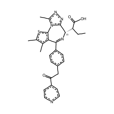 CCC(C(=O)O)[C@@H]1N=C(c2ccc(CC(=O)c3ccncc3)cc2)c2c(sc(C)c2C)-n2c(C)nnc21